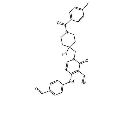 N=Cc1c(Nc2ccc(C=O)cc2)ncn(CC2(O)CCN(C(=O)c3ccc(F)cc3)CC2)c1=O